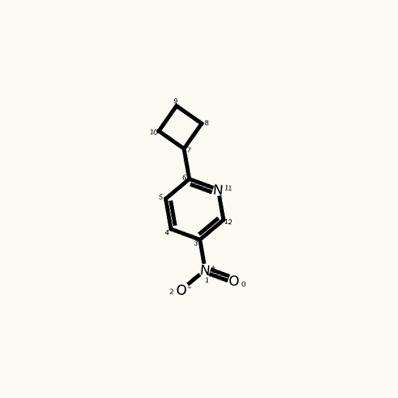 O=[N+]([O-])c1ccc(C2CCC2)nc1